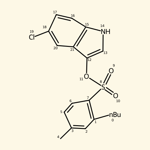 CCCCc1cc(C)ccc1S(=O)(=O)Oc1c[nH]c2ccc(Cl)cc12